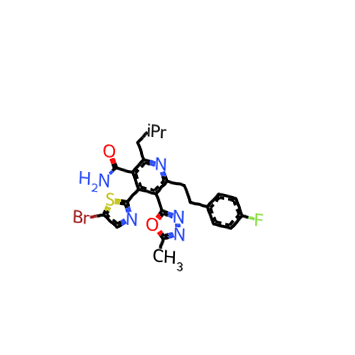 Cc1nnc(-c2c(CCc3ccc(F)cc3)nc(CC(C)C)c(C(N)=O)c2-c2ncc(Br)s2)o1